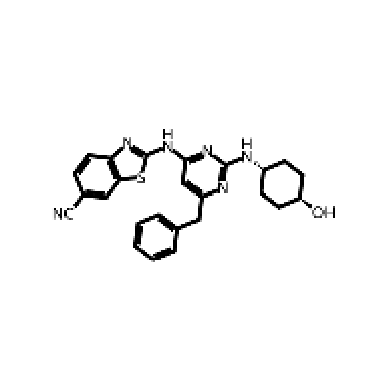 N#Cc1ccc2nc(Nc3cc(Cc4ccccc4)nc(N[C@H]4CC[C@H](O)CC4)n3)sc2c1